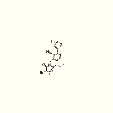 CCCc1nc(C)c(Br)c(=O)n1Cc1cccc(-c2cccc(F)c2)c1C#N